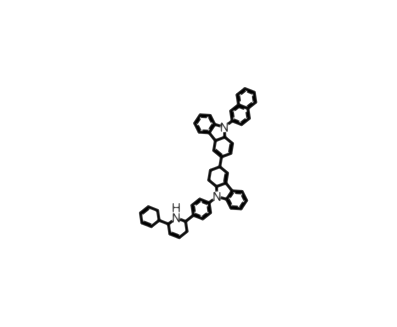 C1=CCC(C2C=CCC(c3ccc(N4c5ccccc5C5=CC(C6=CC7c8ccccc8N(c8ccc9ccccc9c8)C7C=C6)CCC54)cc3)N2)C=C1